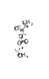 CCCOC(=O)OCC(Cl)CC